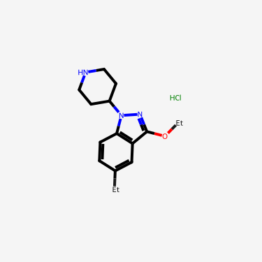 CCOc1nn(C2CCNCC2)c2ccc(CC)cc12.Cl